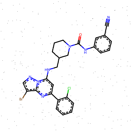 N#Cc1cccc(NC(=O)N2CCCC(CNc3cc(-c4ccccc4Cl)nc4c(Br)cnn34)C2)c1